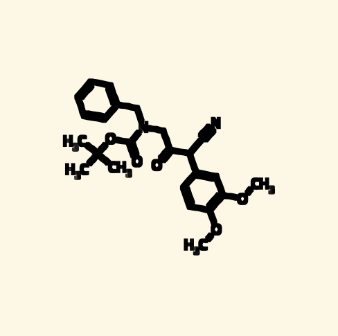 COc1ccc(C(C#N)C(=O)CN(Cc2ccccc2)C(=O)OC(C)(C)C)cc1OC